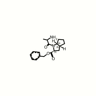 CC(N)C(=O)N1[C@@H]2CCC[C@@H]2C[C@H]1C(=O)OCc1ccccc1